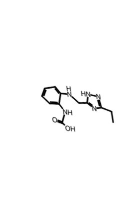 CCc1n[nH]c(CNc2ccccc2NC(=O)O)n1